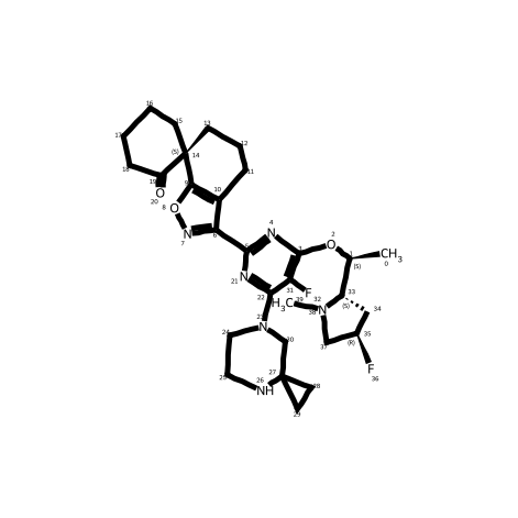 C[C@H](Oc1nc(-c2noc3c2CCC[C@@]32CCCCC2=O)nc(N2CCNC3(CC3)C2)c1F)[C@@H]1C[C@@H](F)CN1C